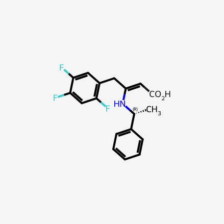 C[C@@H](NC(=CC(=O)O)Cc1cc(F)c(F)cc1F)c1ccccc1